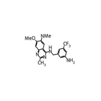 CNc1cc2c(NCc3cc(N)cc(C(F)(F)F)c3)nc(C)nc2cc1OC